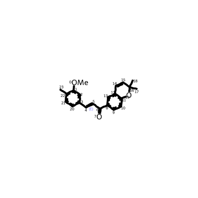 COc1cc(/C=C/C(=O)c2ccc3c(c2)C=CC(C)(C)O3)ccc1C